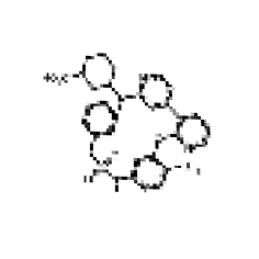 Cc1ccc(NS(=O)(=O)Cc2ccccc2)cc1Oc1ncccc1-c1ccnc(NC2CCCN(C(=O)O)C2)n1